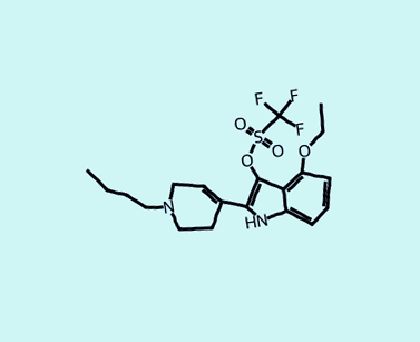 CCCCN1CC=C(c2[nH]c3cccc(OCC)c3c2OS(=O)(=O)C(F)(F)F)CC1